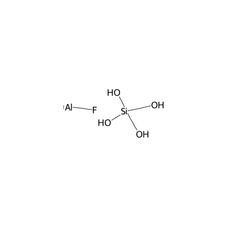 O[Si](O)(O)O.[F][Al]